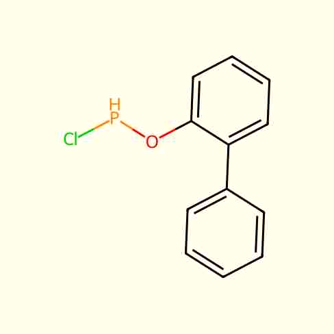 ClPOc1ccccc1-c1ccccc1